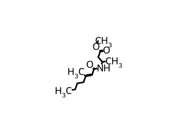 CCCC/C(C)=C/C(=O)NC(C)CC(=O)OC